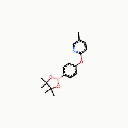 Cc1ccc(Oc2ccc(B3OC(C)(C)C(C)(C)O3)cc2)nc1